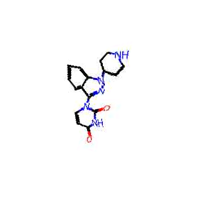 O=c1ccn(-c2nn(C3CCNCC3)c3ccccc23)c(=O)[nH]1